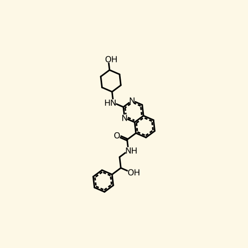 O=C(NCC(O)c1ccccc1)c1cccc2cnc(NC3CCC(O)CC3)nc12